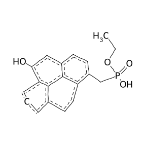 CCOP(=O)(O)Cc1ccc2cc(O)c3cccc4ccc1c2c43